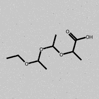 CCOC(C)OC(C)OC(C)C(=O)O